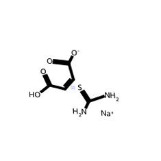 NC(N)=S.O=C([O-])/C=C\C(=O)O.[Na+]